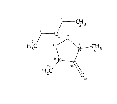 CCOCC.CN1CCN(C)C1=O